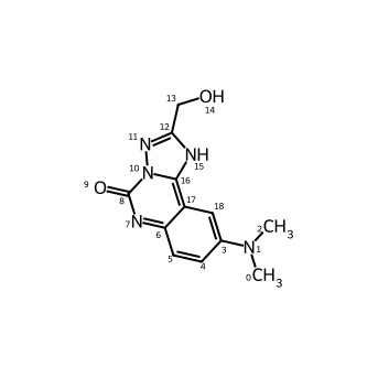 CN(C)c1ccc2nc(=O)n3nc(CO)[nH]c3c2c1